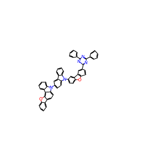 c1ccc(-c2nc(-c3ccccc3)nc(-c3ccc4oc5ccc(-n6c7ccccc7c7cc(-n8c9ccccc9c9c%10oc%11ccccc%11c%10ccc98)ccc76)cc5c4c3)n2)cc1